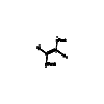 [2H]C(CCCCC)=C([2H])CCCCC